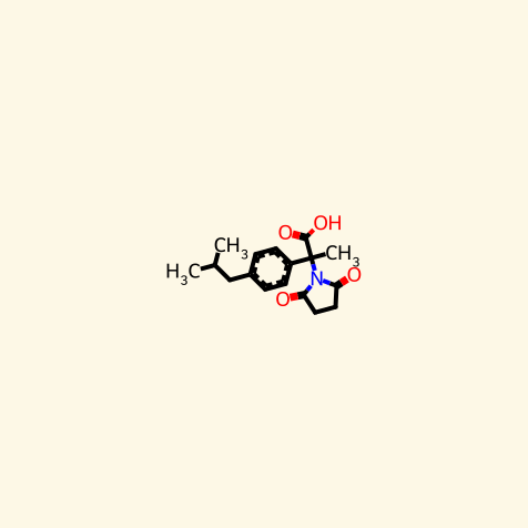 CC(C)Cc1ccc(C(C)(C(=O)O)N2C(=O)CCC2=O)cc1